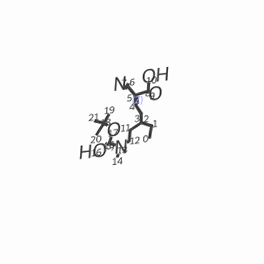 CCC(C/C=C(/C#N)C(=O)O)CCN(C)[C@@H](O)OC(C)(C)C